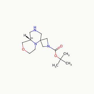 CC(C)(C)OC(=O)N1CC2(CNC[C@H]3COCCN32)C1